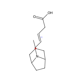 CC1CC2CCC(C1)N2C/C=C/CC(=O)O